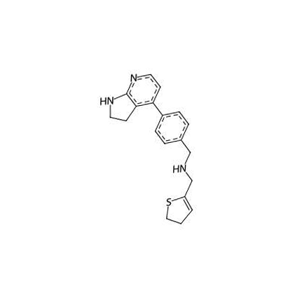 C1=C(CNCc2ccc(-c3ccnc4c3CCN4)cc2)SCC1